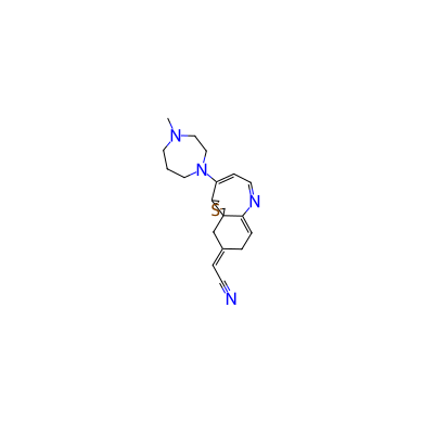 CN1CCCN(C2=CC=NC3=CCC(=CC#N)CC34CSC=C24)CC1